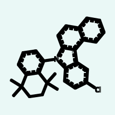 CC1(C)CCC(C)(C)c2c(-n3c4ccc(Cl)cc4c4c5ccccc5ccc43)cccc21